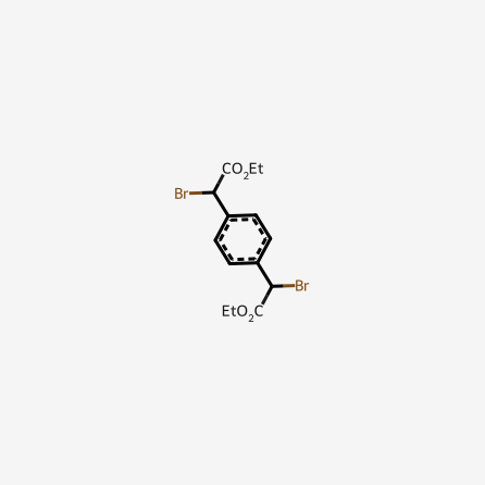 CCOC(=O)C(Br)c1ccc(C(Br)C(=O)OCC)cc1